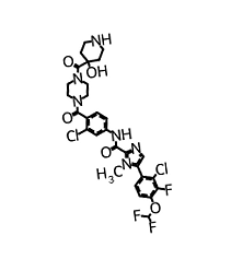 Cn1c(-c2ccc(OC(F)F)c(F)c2Cl)cnc1C(=O)Nc1ccc(C(=O)N2CCN(C(=O)C3(O)CCNCC3)CC2)c(Cl)c1